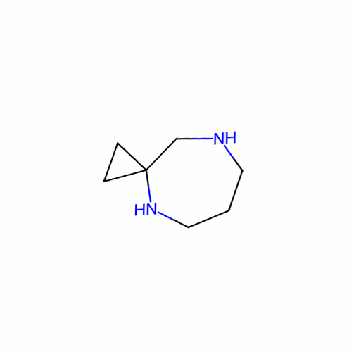 C1CNCC2(CC2)NC1